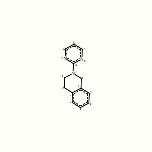 [c]1cccc2c1CN(c1ncccn1)CC2